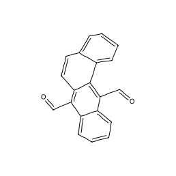 O=Cc1c2ccccc2c(C=O)c2c1ccc1ccccc12